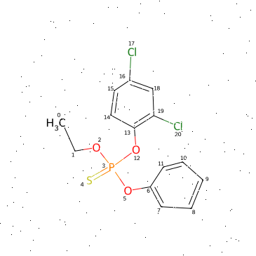 CCOP(=S)(Oc1ccccc1)Oc1ccc(Cl)cc1Cl